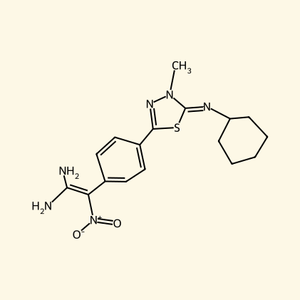 Cn1nc(-c2ccc(C(=C(N)N)[N+](=O)[O-])cc2)sc1=NC1CCCCC1